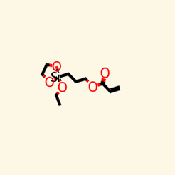 C=CC(=O)OCCC[Si]1(OCC)OCCO1